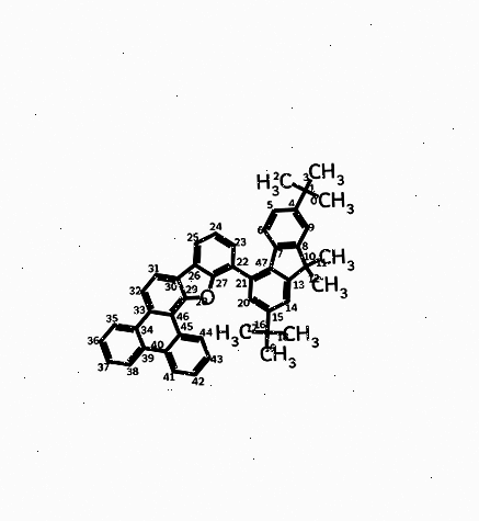 CC(C)(C)c1ccc2c(c1)C(C)(C)c1cc(C(C)(C)C)cc(-c3cccc4c3oc3c4ccc4c5ccccc5c5ccccc5c43)c1-2